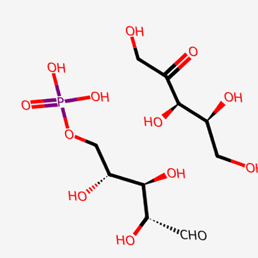 O=C(CO)[C@H](O)[C@@H](O)CO.O=C[C@H](O)[C@H](O)[C@H](O)COP(=O)(O)O